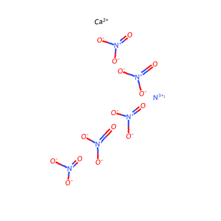 O=[N+]([O-])[O-].O=[N+]([O-])[O-].O=[N+]([O-])[O-].O=[N+]([O-])[O-].O=[N+]([O-])[O-].[Ca+2].[N+3]